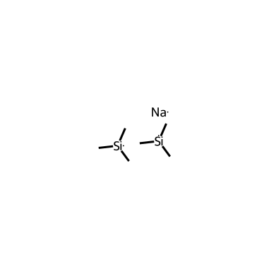 C[Si](C)C.C[Si](C)C.[Na]